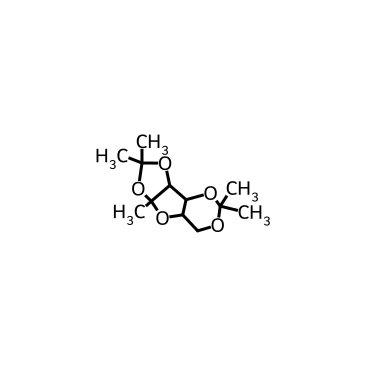 CC1(C)OCC2OC3(C)OC(C)(C)OC3C2O1